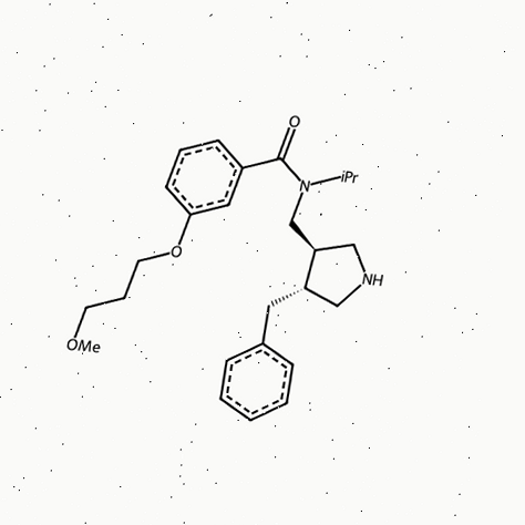 COCCCOc1cccc(C(=O)N(C[C@H]2CNC[C@@H]2Cc2ccccc2)C(C)C)c1